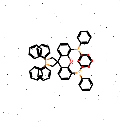 c1ccc(P(CC2(CP(c3ccccc3)c3ccccc3)c3cccc(P(c4ccccc4)c4ccccc4)c3Oc3c(P(c4ccccc4)c4ccccc4)cccc32)c2ccccc2)cc1